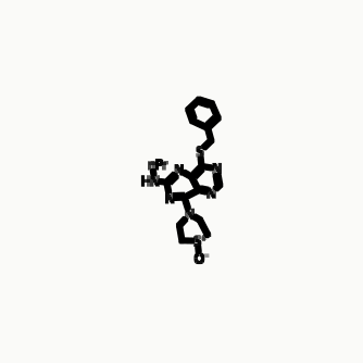 CCCNc1nc(N2CC[S+]([O-])CC2)c2ncnc(SCc3ccccc3)c2n1